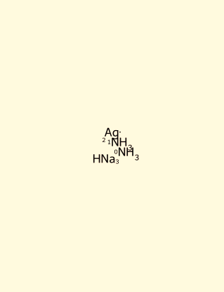 N.N.[Ag].[NaH]